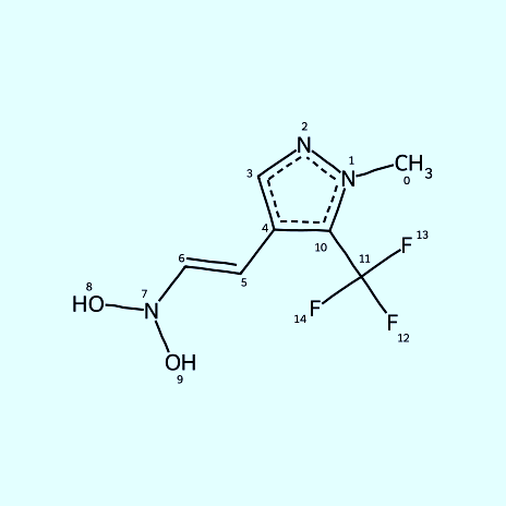 Cn1ncc(/C=C/N(O)O)c1C(F)(F)F